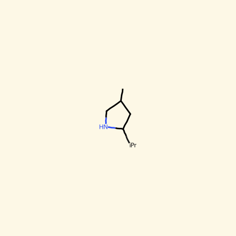 CC1CNC(C(C)C)C1